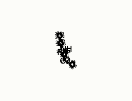 O=C(OCc1ccccc1)c1cc(F)c(NCc2ccc(C3CCCCC3)cc2)c(F)c1